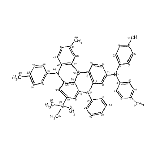 Cc1ccc(N(c2ccc(C)cc2)c2ccc3c(c2)N(c2ccccc2)c2cc([Si](C)(C)C)cc4c2B3c2cc(C)ccc2N4c2ccc(C)cc2)cc1